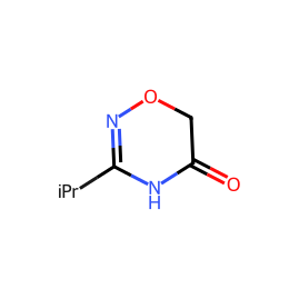 CC(C)C1=NOCC(=O)N1